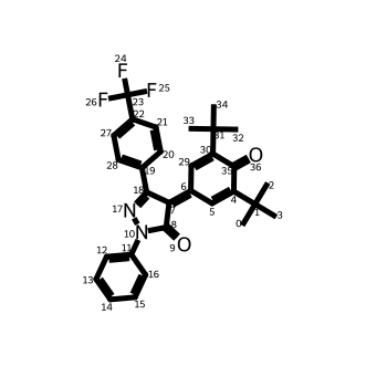 CC(C)(C)C1=CC(=C2C(=O)N(c3ccccc3)N=C2c2ccc(C(F)(F)F)cc2)C=C(C(C)(C)C)C1=O